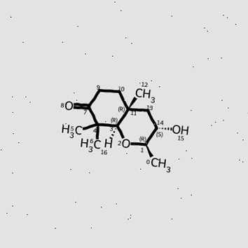 C[C@H]1O[C@H]2C(C)(C)C(=O)CC[C@]2(C)C[C@@H]1O